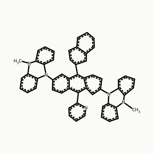 CN1c2ccccc2N(c2ccc3c(-c4ccccn4)c4cc(N5c6ccccc6N(C)c6ccccc65)ccc4c(-c4ccc5ccccc5c4)c3c2)c2ccccc21